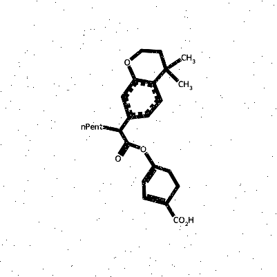 CCCCCC(C(=O)OC1=CC=C(C(=O)O)CC1)c1ccc2c(c1)OCCC2(C)C